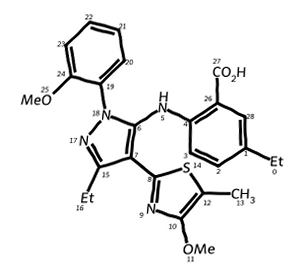 CCc1ccc(Nc2c(-c3nc(OC)c(C)s3)c(CC)nn2-c2ccccc2OC)c(C(=O)O)c1